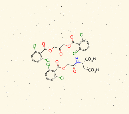 O=C(COC(=O)c1c(Cl)cccc1Cl)COC(=O)c1c(Cl)cccc1Cl.O=C(O)C[C@H](NC(=O)COC(=O)c1c(Cl)cccc1Cl)C(=O)O